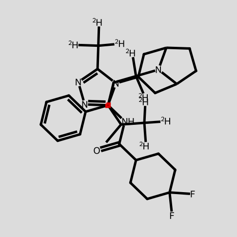 [2H]C([2H])([2H])c1nnc(C(C)C([2H])([2H])[2H])n1C1CC2CCC(C1)N2C([2H])([2H])CC(NC(=O)C1CCC(F)(F)CC1)c1ccccc1